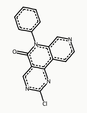 O=c1c2cnc(Cl)nc2c2ccncc2n1-c1ccccc1